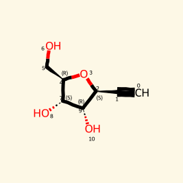 C#C[C@@H]1O[C@H](CO)[C@@H](O)[C@H]1O